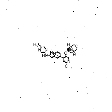 Cc1cnc(Nc2cc3cc(-c4cc(C)ncc4O[C@H]4C[C@H]5COC[C@@H](C4)N5)ccn3n2)cn1